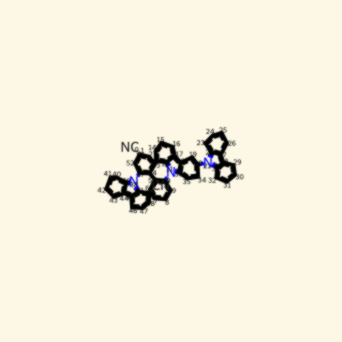 N#Cc1ccc(-c2ccccc2-n2c3ccccc3c3cc(-n4c5ccccc5c5ccccc54)ccc32)c(-n2c3ccccc3c3cccc(C#N)c32)c1